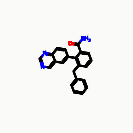 NC(=O)c1cccc(Cc2ccccc2)c1-c1ccc2ncncc2c1